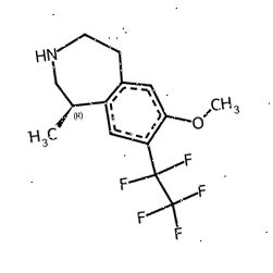 COc1cc2c(cc1C(F)(F)C(F)(F)F)[C@@H](C)CNCC2